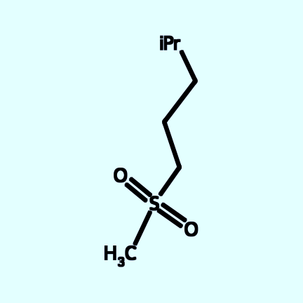 CC(C)CCCS(C)(=O)=O